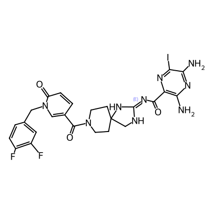 Nc1nc(N)c(C(=O)/N=C2\NCC3(CCN(C(=O)c4ccc(=O)n(Cc5ccc(F)c(F)c5)c4)CC3)N2)nc1I